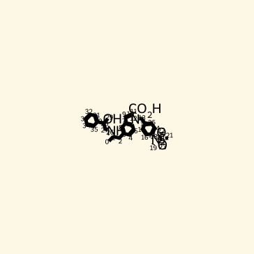 CC(Cc1ccc2c(c1)cc(C(=O)O)n2Cc1ccc(N(C)S(C)(=O)=O)cc1)NCC(O)c1ccccc1